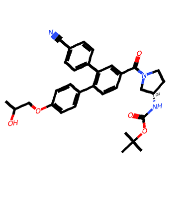 CC(O)COc1ccc(-c2ccc(C(=O)N3CC[C@H](NC(=O)OC(C)(C)C)C3)cc2-c2ccc(C#N)cc2)cc1